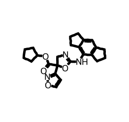 O=C(OC1CCCC1)C1(c2ccon2)CN=C(Nc2c3c(cc4c2CCC4)CCC3)O1